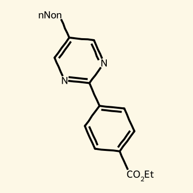 CCCCCCCCCc1cnc(-c2ccc(C(=O)OCC)cc2)nc1